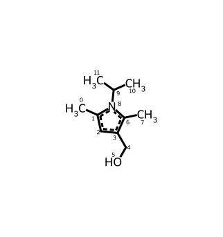 Cc1cc(CO)c(C)n1C(C)C